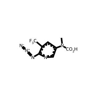 CN(C(=O)O)c1cnc(N=[N+]=[N-])c(C(F)(F)F)c1